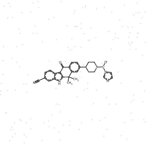 CC1(C)c2cc(C3CCN([S+]([O-])n4ccnc4)CC3)ccc2C(=O)c2c1[nH]c1cc(C#N)ccc21